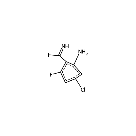 N=C(I)c1c(N)cc(Cl)cc1F